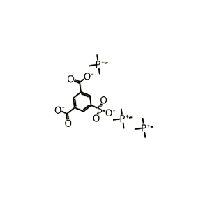 C[P+](C)(C)C.C[P+](C)(C)C.C[P+](C)(C)C.O=C([O-])c1cc(C(=O)[O-])cc(S(=O)(=O)[O-])c1